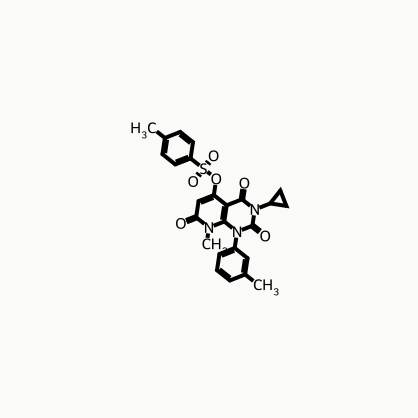 Cc1ccc(S(=O)(=O)Oc2cc(=O)n(C)c3c2c(=O)n(C2CC2)c(=O)n3-c2cccc(C)c2)cc1